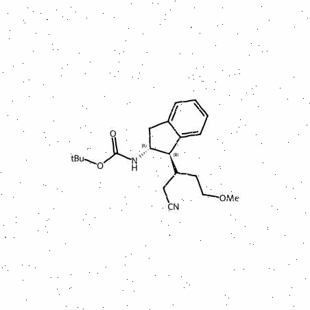 COCCC(CC#N)[C@@H]1c2ccccc2C[C@H]1NC(=O)OC(C)(C)C